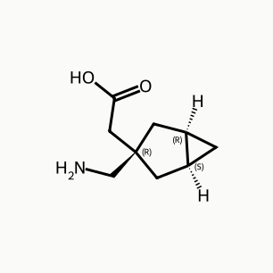 NC[C@@]1(CC(=O)O)C[C@H]2C[C@H]2C1